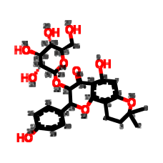 CC1(C)CCc2c(cc(O)c3c2OC(c2ccc(O)cc2)C(O[C@@H]2O[C@H](CO)[C@@H](O)[C@H](O)[C@H]2O)C3=O)O1